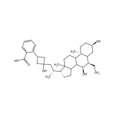 CC[C@@H]1C2C[C@H](O)CC[C@]2(C)C2CCC3(C)C(CC[C@@H]3[C@H](C)CC3(O)CC(c4ccccc4C(=O)O)C3)C2[C@@H]1O